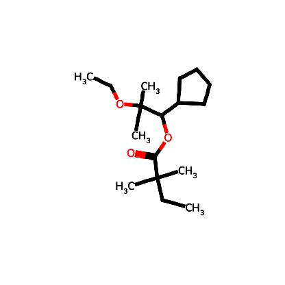 CCOC(C)(C)C(OC(=O)C(C)(C)CC)C1CCCC1